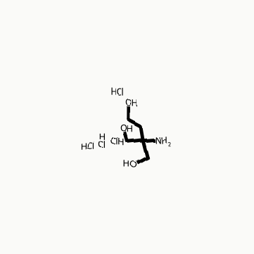 Cl.Cl.Cl.Cl.NC(CO)(CO)CCO